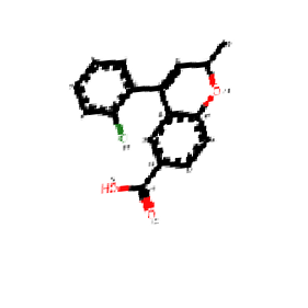 CC1C=C(c2ccccc2Cl)c2cc(C(=O)O)ccc2O1